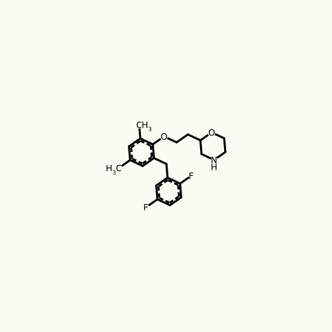 Cc1cc(C)c(OCCC2CNCCO2)c(Cc2cc(F)ccc2F)c1